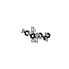 COc1cc(N2CCC(N(C)C)CC2)c(N)cc1NC1N=C(c2cn(C)c3cccnc23)C=CN1